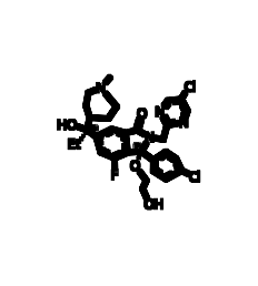 CC[C@@](O)(c1cc(F)c2c(c1)C(=O)N(Cc1ncc(Cl)cn1)[C@@]2(OCCO)c1ccc(Cl)cc1)C1CCN(C)CC1